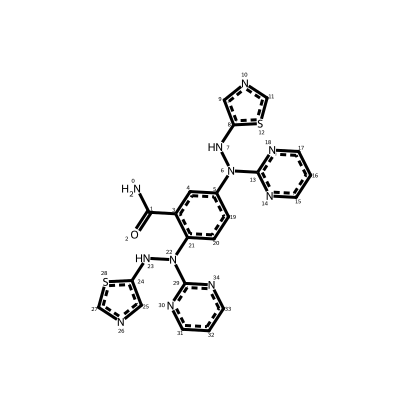 NC(=O)c1cc(N(Nc2cncs2)c2ncccn2)ccc1N(Nc1cncs1)c1ncccn1